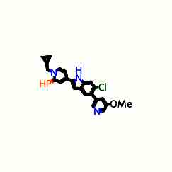 COc1cncc(-c2cc3cc(-c4ccn(CC5CC5)c(=P)c4)[nH]c3cc2Cl)c1